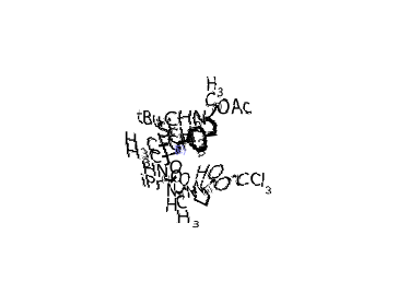 CC(=O)O[C@H](C)c1ccc2ccc(/C=C/C(C)(C(=O)N[C@H](C(=O)N[C@@H](C)C(=O)N3CCC[C@@H](C(=O)OCC(Cl)(Cl)Cl)N3)C(C)C)C(C)(C)C[Si](C)(C)C(C)(C)C)cc2n1